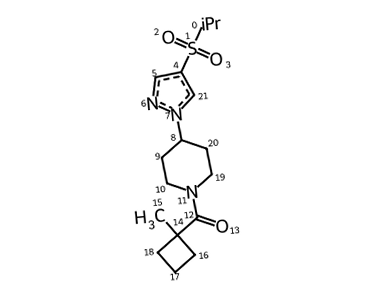 CC(C)S(=O)(=O)c1cnn(C2CCN(C(=O)C3(C)CCC3)CC2)c1